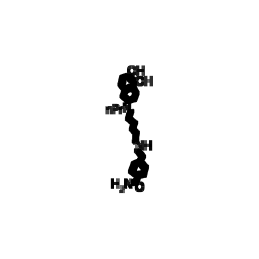 CCCN(CCCCCCNCCc1ccc(C(N)=O)cc1)C1CCc2c(ccc(O)c2O)C1